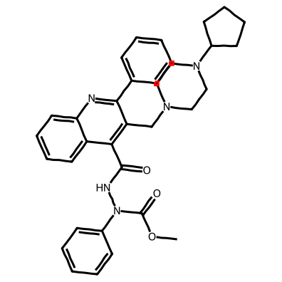 COC(=O)N(NC(=O)c1c(CN2CCN(C3CCCC3)CC2)c(-c2ccccc2)nc2ccccc12)c1ccccc1